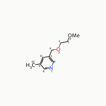 COCCOCc1cncc(C)c1